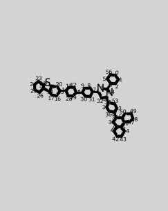 c1ccc(-c2nc(-c3ccc(-c4ccc(-c5ccc6c(c5)sc5ccccc56)cc4)cc3)cc(-c3ccc(-c4cc5ccccc5c5ccccc45)cc3)n2)cc1